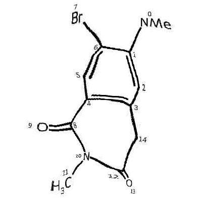 CNc1cc2c(cc1Br)C(=O)N(C)C(=O)C2